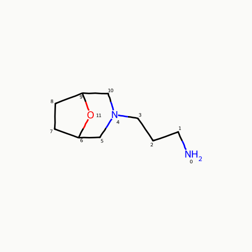 NCCCN1CC2CCC(C1)O2